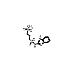 CS(=O)(=O)CCCS(=O)(=O)Nc1nc2ccccc2[nH]1